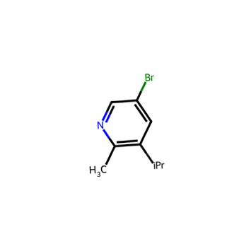 Cc1ncc(Br)cc1C(C)C